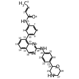 C/C=C/C(=O)Nc1cccc(-c2cccc3cnc(Nc4ccc(C5CNCCO5)cc4)nc23)c1